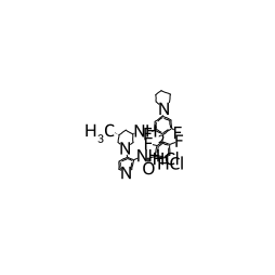 C[C@@H]1C[C@H](N)CN(c2ccncc2NC(=O)c2ccc(F)c(-c3c(F)cc(N4CCCCC4)cc3F)c2F)C1.Cl.Cl